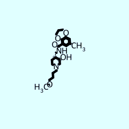 COCCCCN1CC[C@H](CNC(=O)c2cc(C)cc3c2OCCCO3)[C@H](O)C1